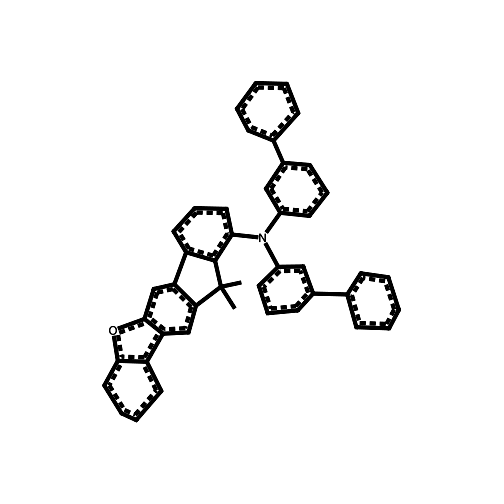 CC1(C)c2cc3c(cc2-c2cccc(N(c4cccc(-c5ccccc5)c4)c4cccc(-c5ccccc5)c4)c21)oc1ccccc13